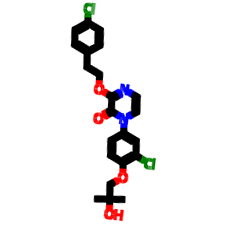 CC(C)(O)COc1ccc(-n2ccnc(OCCc3ccc(Cl)cc3)c2=O)cc1Cl